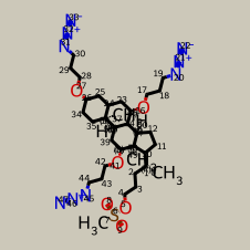 C[C@H](CCCOS(C)(=O)=O)C1CC[C@H]2C3[C@H](OCCCN=[N+]=[N-])CC4CC(OCCCN=[N+]=[N-])CC[C@]4(C)[C@H]3C[C@H](OCCCN=[N+]=[N-])[C@]12C